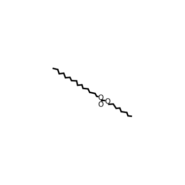 CCCCCCCCCCCCCCCOC(=O)OCCCCCCCC